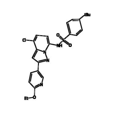 CCOc1ccc(-c2cc3c(Cl)ccc(NS(=O)(=O)c4ccc(C(C)(C)C)cc4)n3n2)cn1